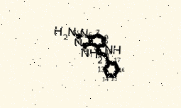 Nc1nc(N)c2c(ccc3[nH]c(-c4ccccc4)cc32)n1